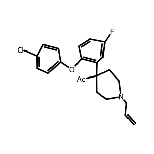 C=CCN1CCC(C(C)=O)(c2cc(F)ccc2Oc2ccc(Cl)cc2)CC1